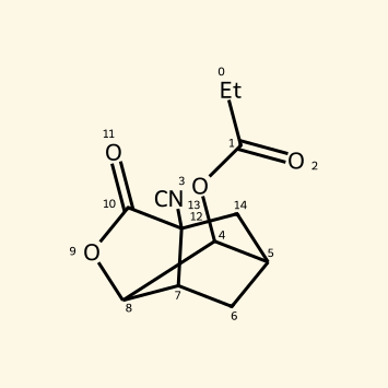 CCC(=O)OC1C2CC3C1OC(=O)C3(C#N)C2